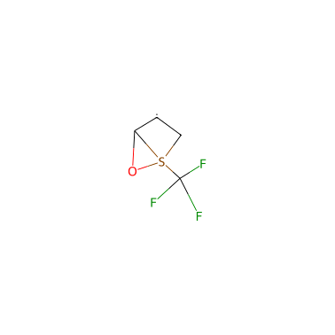 FC(F)(F)S12C[CH]C1O2